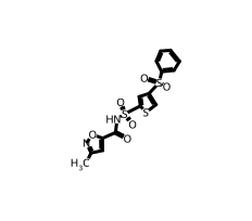 Cc1cc(C(=O)NS(=O)(=O)c2cc(S(=O)(=O)c3ccccc3)cs2)on1